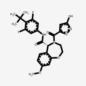 COc1ccc2c(c1)OCCN(C(=O)c1cc(O)no1)[C@H]2C(=O)Nc1cc(F)c(C(C)(C)C)c(F)c1